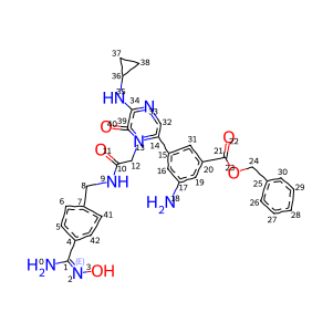 N/C(=N/O)c1ccc(CNC(=O)Cn2c(-c3cc(N)cc(C(=O)OCc4ccccc4)c3)cnc(NC3CC3)c2=O)cc1